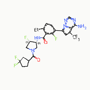 CCc1ccc(-c2cc(C(F)(F)F)c3c(N)ncnn23)c(F)c1C(=O)N[C@@H]1CN(C(=O)C2CCC(F)(F)C2)C[C@@H]1F